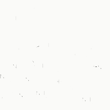 NC(=O)CC[C@H](N)C(=O)O.Nc1nc2c(ncn2[C@@H]2O[C@H](COP(=O)(O)O)[C@@H](O)[C@H]2O)c(=O)[nH]1.Oc1ccco1